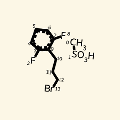 CS(=O)(=O)O.Fc1cccc(F)c1CCCBr